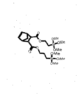 CO[Si](CCCOC(=O)C1C2C=CC(C2)C1C(=O)OCC[Si](OC)(OC)OC)(OC)OC